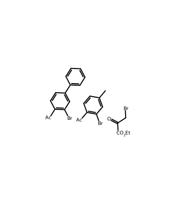 CC(=O)c1ccc(-c2ccccc2)cc1Br.CC(=O)c1ccc(C)cc1Br.CCOC(=O)C(=O)CBr